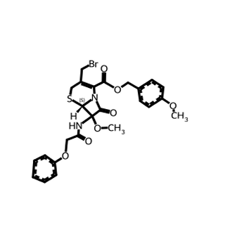 COc1ccc(COC(=O)C2=C(CBr)CS[C@@H]3N2C(=O)C3(NC(=O)COc2ccccc2)OC)cc1